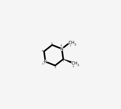 C[C@H]1C[N]CCN1C